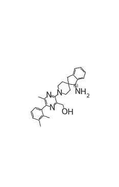 Cc1cccc(-c2nc(CO)c(N3CCC4(CC3)Cc3ccccc3[C@H]4N)nc2C)c1C